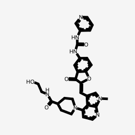 Cn1cc(/C=C2\Oc3ccc(NC(=O)Nc4cccnc4)cc3C2=O)c2c(N3CCC(C(=O)NCCO)CC3)ccnc21